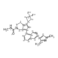 CNC(=O)N1CCn2c(C3CC(F)(F)C3)nc(-c3cccc4cc(-c5cn(C)nc5C)ncc34)c2C1